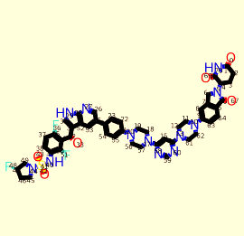 O=C1CCC(N2Cc3cc(N4CCN(c5cc(N6CCN(c7ccc(-c8cnc9[nH]cc(C(=O)c%10c(F)ccc(NS(=O)(=O)N%11CC[C@@H](F)C%11)c%10F)c9c8)cc7)CC6)ncn5)CC4)ccc3C2=O)C(=O)N1